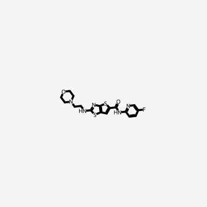 O=C(Nc1ccc(F)cn1)c1cc2sc(NCCN3CCOCC3)nc2s1